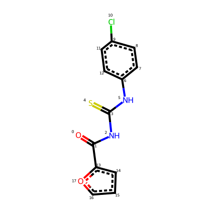 O=C(NC(=S)Nc1ccc(Cl)cc1)c1ccco1